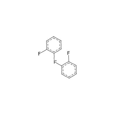 Fc1ccccc1[I+]c1ccccc1F